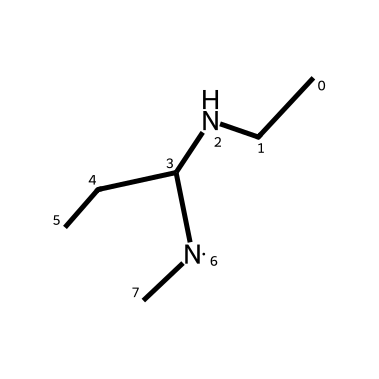 CCNC(CC)[N]C